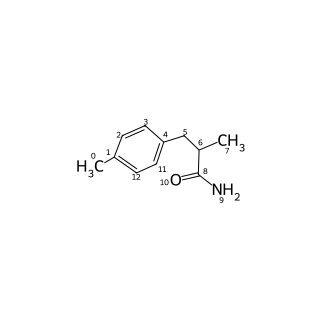 Cc1ccc(CC(C)C(N)=O)cc1